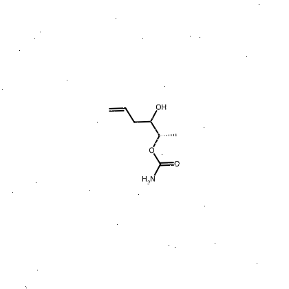 C=CCC(O)[C@H](C)OC(N)=O